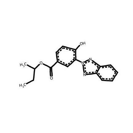 CCC(C)OC(=O)c1ccc(O)c(-n2nc3ccccc3n2)c1